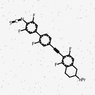 CCCC1CCc2c(cc(F)c(C#Cc3ccc(-c4cc(F)c(N=C=S)c(F)c4)c(F)c3)c2F)C1